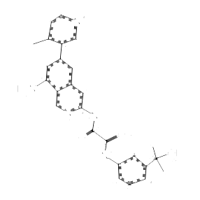 Cc1ccncc1-c1cc(N)c2cnc(NC(=O)C(=O)Nc3cccc(C(C)(C)O)c3)cc2c1